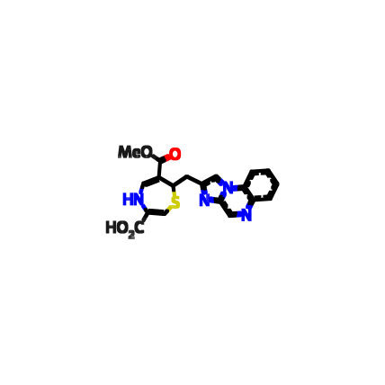 COC(=O)C1=CNC(C(=O)O)=CSC1Cc1cn2c(cnc3ccccc32)n1